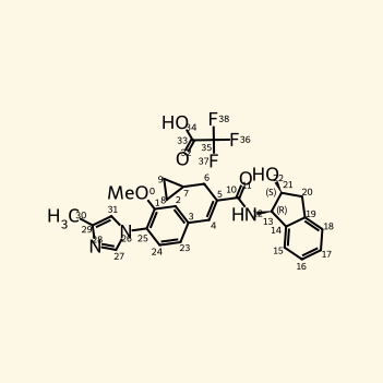 COc1cc(C=C(CC2CC2)C(=O)N[C@@H]2c3ccccc3C[C@@H]2O)ccc1-n1cnc(C)c1.O=C(O)C(F)(F)F